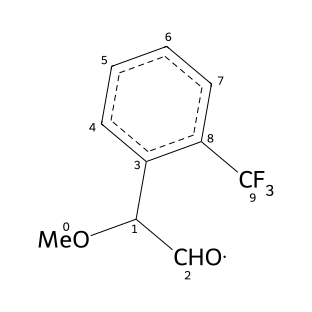 COC([C]=O)c1ccccc1C(F)(F)F